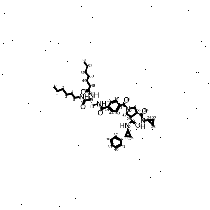 CCCCCCNC(=O)[C@@H](CNC(=O)c1ccc(C(=O)N2C[C@@H](C(=O)NC3CC3)[C@H](C(=O)N[C@H]3C[C@@H]3c3ccccc3)C2)cc1)NC(=O)CCCCCC